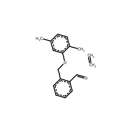 C=C.Cc1ccc(C)c(OCc2ccccc2C=O)c1